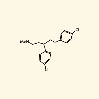 CNCCC(CCc1ccc(Cl)cc1)c1ccc(Cl)cc1